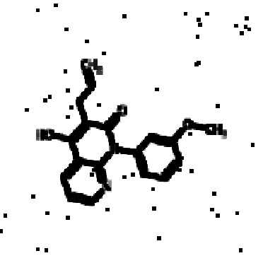 C=CCc1c(O)c2cccnc2n(-c2cccc(OC)c2)c1=O